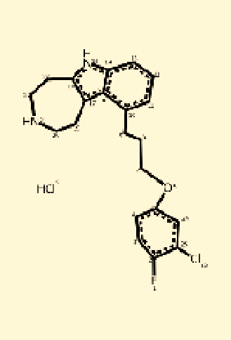 Cl.Fc1ccc(OCCCc2cccc3[nH]c4c(c23)CCNCC4)cc1Cl